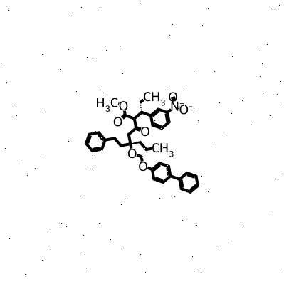 CCC[C@@](CCc1ccccc1)(CC(=O)C(C(=O)OC)[C@H](CC)c1cccc([N+](=O)[O-])c1)OCOc1ccc(-c2ccccc2)cc1